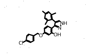 Cc1cc(C)c(-c2c[nH]nc2-c2ccc(OCc3ccc(Cl)cc3)cc2O)c(C)c1